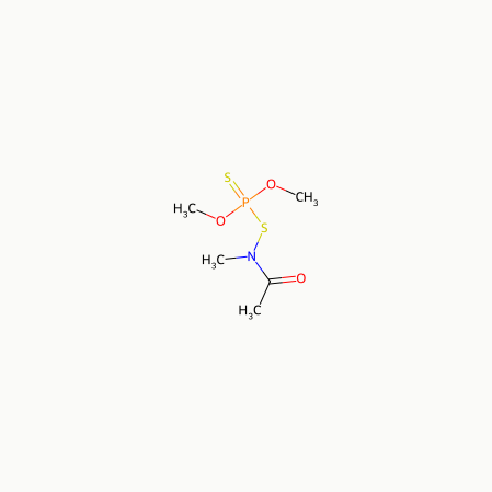 COP(=S)(OC)SN(C)C(C)=O